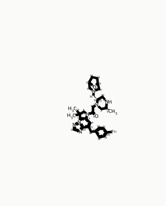 C[C@@H]1CN(CC(=O)N2CC(C)(C)c3c2cc(Cc2ccc(F)cc2)c2ncnn32)[C@H](CN2CC3CCC(C2)O3)CN1